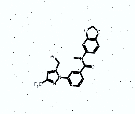 CC(C)Cc1cc(C(F)(F)F)nn1-c1cccc(C(=O)N(C)c2ccc3c(c2)OCO3)c1